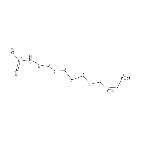 CCCCCCCC/C=C\CCCCCCCCNC([O])=O